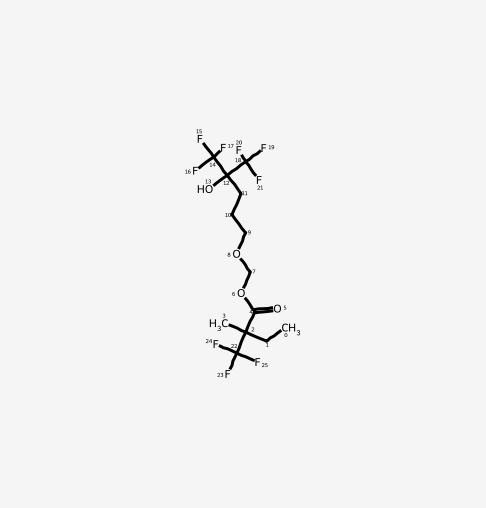 CCC(C)(C(=O)OCOCCCC(O)(C(F)(F)F)C(F)(F)F)C(F)(F)F